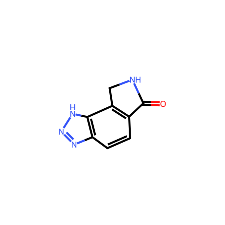 O=C1NCc2c1ccc1nn[nH]c21